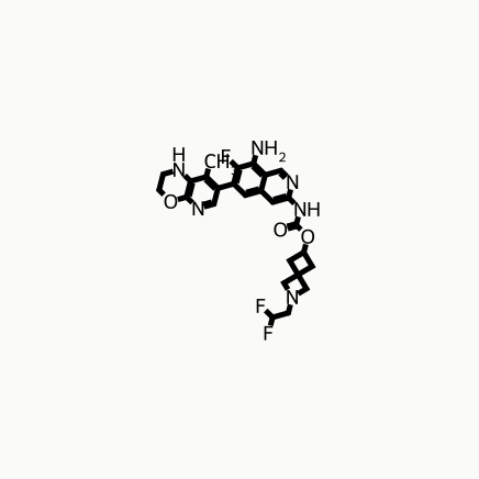 Cc1c(-c2cc3cc(NC(=O)OC4CC5(C4)CN(CC(F)F)C5)ncc3c(N)c2F)cnc2c1NCCO2